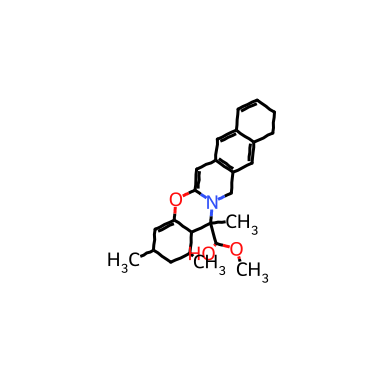 COC(O)C1(C)C2C(=CC(C)CC2C)OC2=Cc3cc4c(cc3CN21)CCC=C4